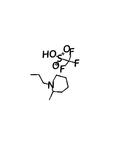 CCCN1CCCCC1C.O=S(=O)(O)C(F)(F)F